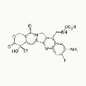 CC[C@@]1(O)C(=O)OCc2c1cc1n(c2=O)Cc2c-1nc1cc(F)c(N)cc1c2CNC(=O)O